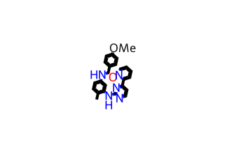 COc1ccc(C(=O)Nc2ccc(C)c(Nc3nccc(-c4ccccn4)n3)c2)cc1